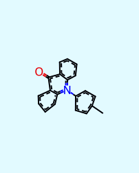 Cc1ccc(-n2c3ccccc3c(=O)c3ccccc32)cc1